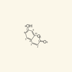 O=c1[c]cc2ccc(O)cc2o1